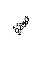 COc1ccc(F)cc1C(C)(C)CC(C=CO)Cc1cc2ccncc2[nH]1